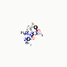 C=C[C@H](C)Nc1nc2c(c(=O)n1-c1cc3ncn(C)c3cc1F)C[C@@H](C)N(C(=O)c1ccc(Br)c(C(F)(F)F)c1)C2